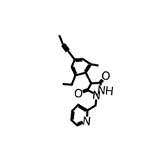 CC#Cc1cc(C)c(C2C(=O)NN(Cc3ccccn3)C2=O)c(CC)c1